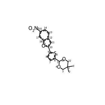 CC1(C)COC(c2ccc(-c3cc4ccc([N+](=O)[O-])cc4o3)s2)OC1